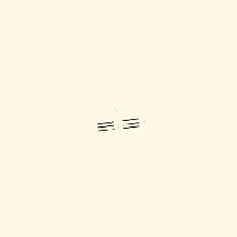 [B]#[V]#[B].[V]